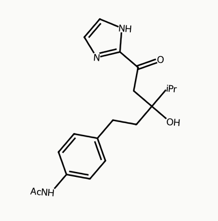 CC(=O)Nc1ccc(CCC(O)(CC(=O)c2ncc[nH]2)C(C)C)cc1